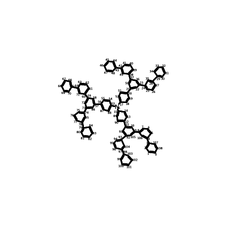 c1ccc(-c2cccc(-c3cc(-c4ccc(N(c5ccc(-c6cc(-c7cccc(-c8ccccc8)c7)cc(-c7cccc(-c8ccccc8)c7)c6)cc5)c5ccc(-c6cc(-c7cccc(-c8ccccc8)c7)cc(-c7cccc(-c8ccccc8)c7)c6)cc5)cc4)cc(-c4cccc(-c5ccccc5)c4)c3)c2)cc1